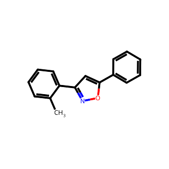 Cc1ccccc1-c1cc(-c2ccccc2)on1